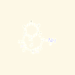 Cc1c2cccc1C(=N)/C=C\C=C/2